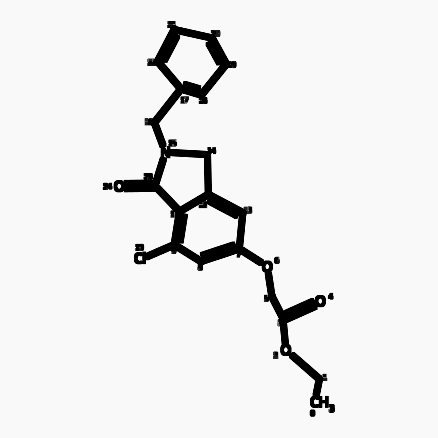 CCOC(=O)COc1cc(Cl)c2c(c1)CN(Cc1ccccc1)C2=O